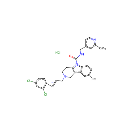 COc1cc(CNC(=O)n2c3c(c4cc(C#N)ccc42)CN(C/C=C/c2ccc(Cl)cc2Cl)CC3)ccn1.Cl